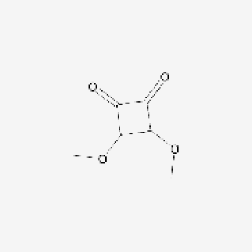 COC1C(=O)C(=O)C1OC